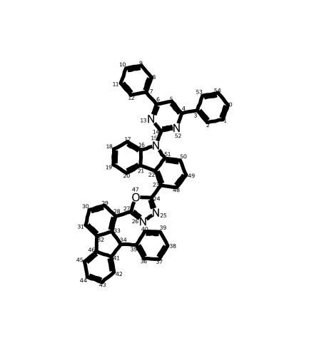 c1ccc(-c2cc(-c3ccccc3)nc(-n3c4ccccc4c4c(-c5nnc(-c6cccc7c6C(c6ccccc6)c6ccccc6-7)o5)cccc43)n2)cc1